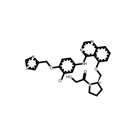 O=C(CO)N1CCC[C@@H]1COc1cccc2ncnc(Nc3ccc(OCc4cscn4)c(Cl)c3)c12